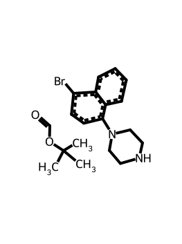 Brc1ccc(N2CCNCC2)c2ccccc12.CC(C)(C)OC=O